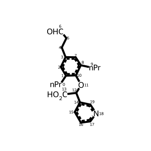 CCCc1cc(CCC=O)cc(CCC)c1OC(C(=O)O)c1cccnc1